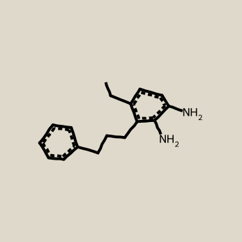 CCc1ccc(N)c(N)c1CCCc1ccccc1